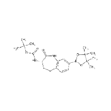 CC(C)(C)OC(=O)N[C@H]1CCc2ccc(B3OC(C)(C)C(C)(C)O3)cc2NC1=O